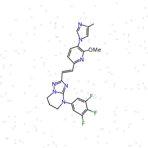 COc1nc(C=Cc2nc3n(n2)CCCN3c2cc(F)c(F)c(F)c2)ccc1-n1cnc(C)c1